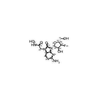 Nc1ncc2c(n1)n([C@@H]1O[C@H](CO)[C@@H](F)[C@H]1O)c(=O)n2CC(=O)NO